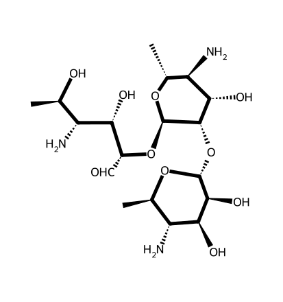 C[C@@H](O)[C@@H](N)[C@H](O)[C@@H](C=O)O[C@H]1O[C@H](C)[C@@H](N)[C@H](O)[C@@H]1O[C@H]1O[C@H](C)[C@@H](N)[C@H](O)[C@@H]1O